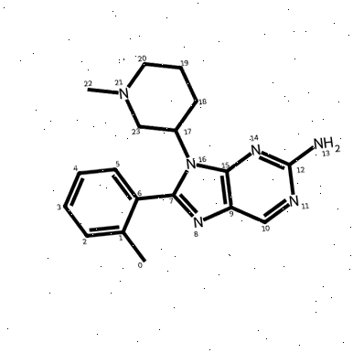 Cc1ccccc1-c1nc2cnc(N)nc2n1C1CCCN(C)C1